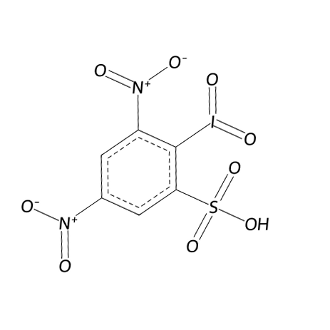 O=[N+]([O-])c1cc([N+](=O)[O-])c(I(=O)=O)c(S(=O)(=O)O)c1